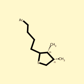 CC(=O)CCCCC1SC[C@@H](C)[C@H]1C